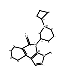 Cn1ncc2c3c(c(=O)n(C4CCCN(C5CCC5)C4)c21)CCCC3